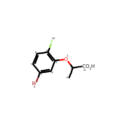 CC(Oc1cc(Br)ccc1F)C(=O)O